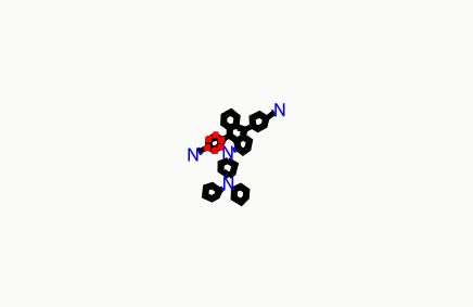 N#Cc1ccc(-c2c3ccccc3c(-c3ccc(C#N)cc3)c3c(N(c4ccccc4)c4ccc(N(c5ccccc5)c5ccccc5)cc4)cccc23)cc1